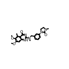 COc1cc2[nH]c(N(C)Cc3cccc(N4CCN(C)C4=O)c3)nc(=O)c2c(C)c1OC